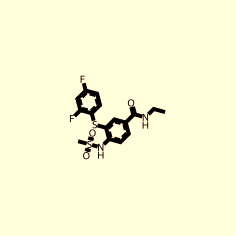 CCNC(=O)c1ccc(NS(C)(=O)=O)c(Sc2ccc(F)cc2F)c1